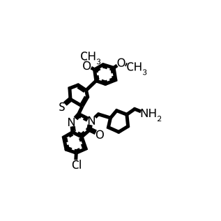 COc1ccc(C2=CCC(=S)C(c3nc4ccc(Cl)cc4c(=O)n3CC3CCCC(CN)C3)=C2)c(OC)c1